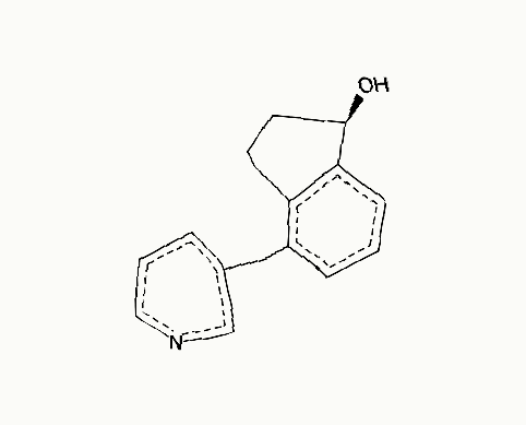 O[C@@H]1CCc2c(-c3cccnc3)cccc21